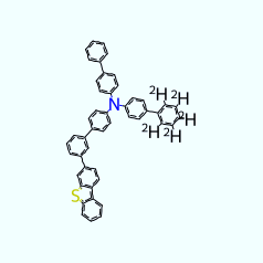 [2H]c1c([2H])c([2H])c(-c2ccc(N(c3ccc(-c4ccccc4)cc3)c3ccc(-c4cccc(-c5ccc6c(c5)sc5ccccc56)c4)cc3)cc2)c([2H])c1[2H]